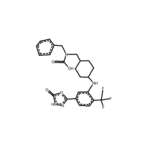 O=C(O)N(Cc1ccccc1)CC1CCC(Nc2cc(-c3n[nH]c(=O)o3)ccc2C(F)(F)F)CC1